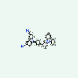 N#Cc1ccc2c(c1)c1cc(C#N)ccc1n2-c1ccc(-c2cccc(-n3c4ccccc4c4ccccc43)c2)cc1